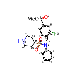 COC(=O)c1ccc(CN(c2ccccc2)S(=O)(=O)C2CCNCC2)c(F)c1